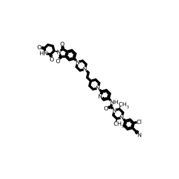 C[C@@H]1CN(c2ccc(C#N)c(Cl)c2)[C@@H](C)CN1C(=O)Nc1ccc(N2CCC(CCN3CCN(c4ccc5c(c4)C(=O)N([C@@H]4CCC(=O)NC4=O)C5=O)CC3)CC2)nc1